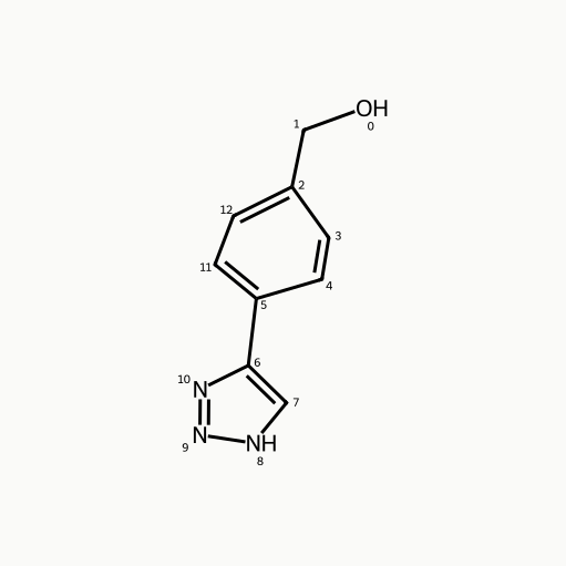 OCc1ccc(-c2c[nH]nn2)cc1